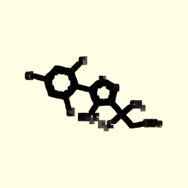 COCC(C)(C)c1onc(-c2c(Cl)cc(Cl)cc2Cl)c1C(=O)O